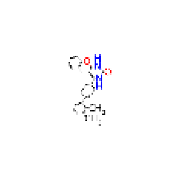 Cc1cccc(C2=CCC(c3[nH]c(=O)[nH]c(=O)c3Cc3ccccc3)CC2)c1C